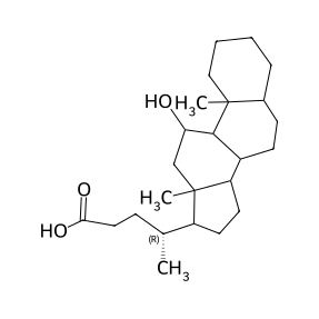 C[C@H](CCC(=O)O)C1CCC2C3CCC4CCCCC4(C)C3C(O)CC21C